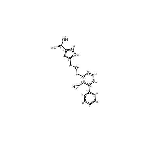 Cc1c(COCc2cc(C(=O)O)no2)cccc1-c1ccccc1